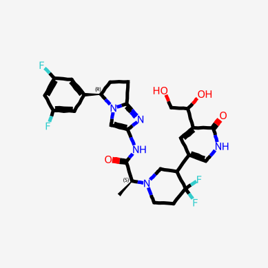 C[C@@H](C(=O)Nc1cn2c(n1)CC[C@@H]2c1cc(F)cc(F)c1)N1CCC(F)(F)C(c2c[nH]c(=O)c(C(O)CO)c2)C1